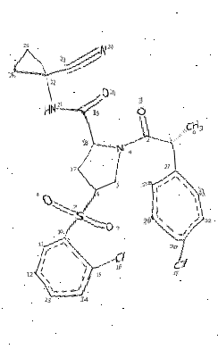 C[C@@H](C(=O)N1CC(S(=O)(=O)c2ccccc2Cl)CC1C(=O)NC1(C#N)CC1)c1ccc(Cl)cc1